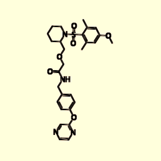 COc1cc(C)c(S(=O)(=O)N2CCCCC2COCC(=O)NCc2ccc(Oc3cnccn3)cc2)c(C)c1